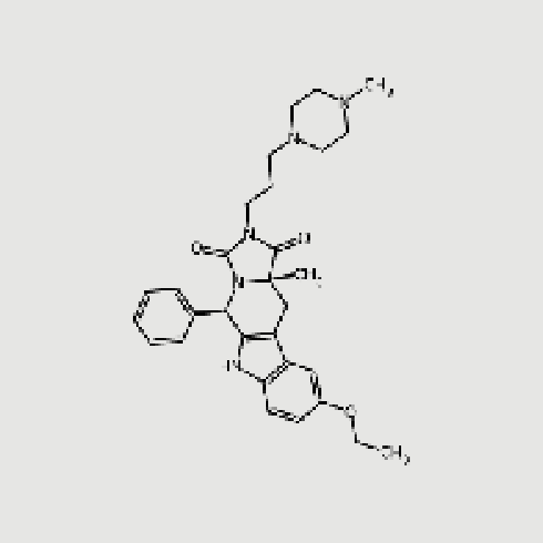 CCOc1ccc2[nH]c3c(c2c1)C[C@@]1(C)C(=O)N(CCCN2CCN(C)CC2)C(=O)N1[C@@H]3c1ccccc1